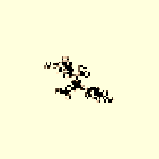 CCC(=O)OCC(COC(=O)CC)(COC(=O)CC(C)(C(C)=O)C(=O)OC)COC(=O)CC(C)(C(C)=O)C(=O)OC